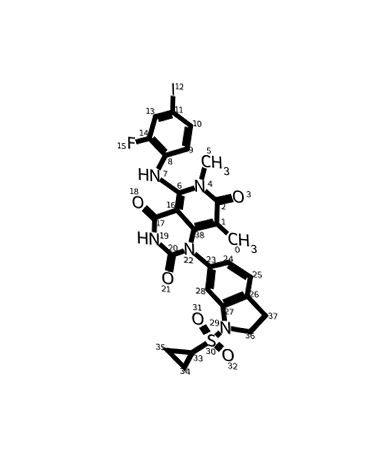 Cc1c(=O)n(C)c(Nc2ccc(I)cc2F)c2c(=O)[nH]c(=O)n(-c3ccc4c(c3)N(S(=O)(=O)C3CC3)CC4)c12